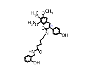 COc1cc(/C=C(\C(=O)NCCCCCC(=O)NCc2ccccc2O)c2ccc(O)cc2)cc(OC)c1OC